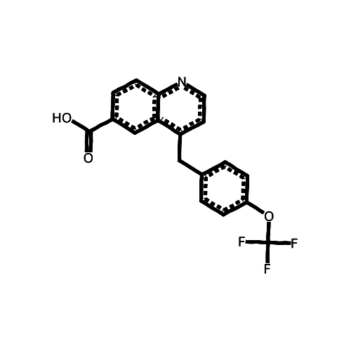 O=C(O)c1ccc2nccc(Cc3ccc(OC(F)(F)F)cc3)c2c1